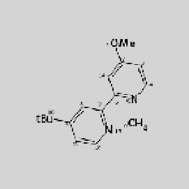 C.COc1ccnc(-c2cc(C(C)(C)C)ccn2)c1